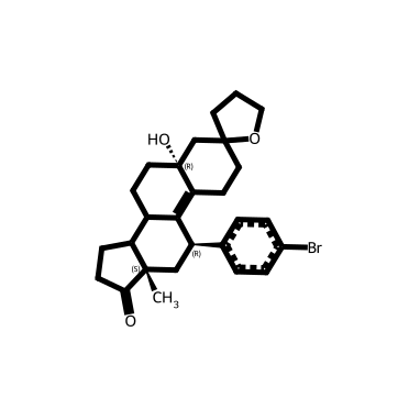 C[C@]12C[C@H](c3ccc(Br)cc3)C3=C4CCC5(CCCO5)C[C@]4(O)CCC3C1CCC2=O